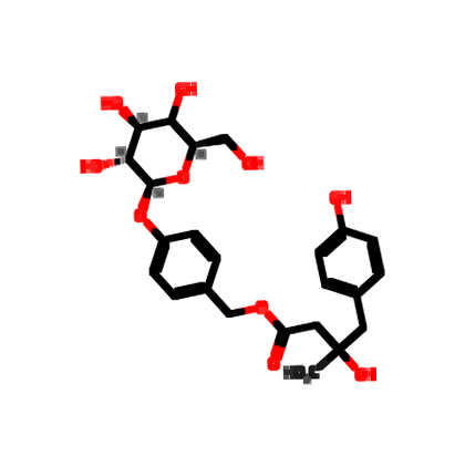 O=C(CC(O)(Cc1ccc(O)cc1)C(=O)O)OCc1ccc(O[C@@H]2O[C@H](CO)C(O)[C@H](O)[C@H]2O)cc1